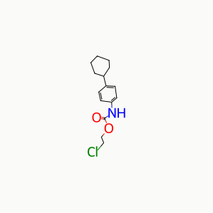 O=C(Nc1ccc(C2CCCCC2)cc1)OCCCl